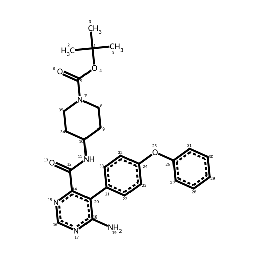 CC(C)(C)OC(=O)N1CCC(NC(=O)c2ncnc(N)c2-c2ccc(Oc3ccccc3)cc2)CC1